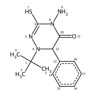 CC(C)(C)N1N=C(S)N(N)C(=O)C1c1ccccc1